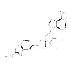 Nc1nc2cc(C3CC4(CO3)CC(n3ccc5c(N)ncnc53)C(O)C4O)ccc2s1